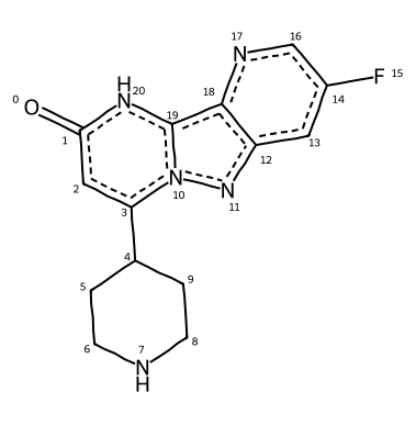 O=c1cc(C2CCNCC2)n2nc3cc(F)cnc3c2[nH]1